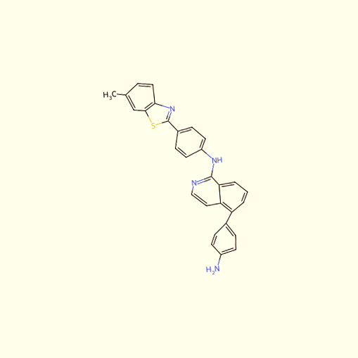 Cc1ccc2nc(-c3ccc(Nc4nccc5c(-c6ccc(N)cc6)cccc45)cc3)sc2c1